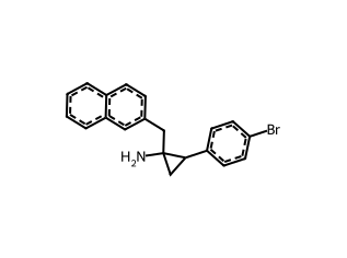 NC1(Cc2ccc3ccccc3c2)CC1c1ccc(Br)cc1